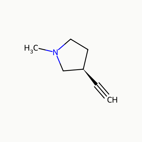 C#C[C@@H]1CCN(C)C1